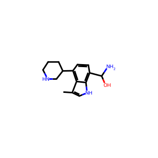 Cc1c[nH]c2c(C(N)O)ccc(C3CCCNC3)c12